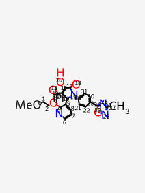 COCCOc1ncccc1C1C(C(=O)C(C)C)=C(O)C(=O)N1c1ccc(-c2nc(C)no2)cc1